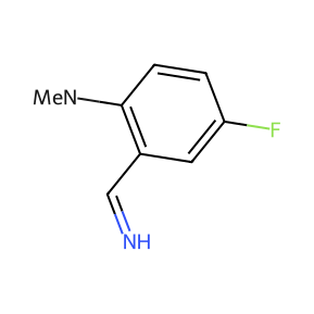 CNc1ccc(F)cc1C=N